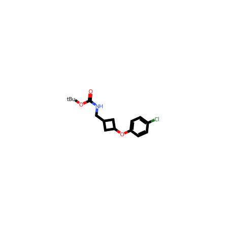 CC(C)(C)OC(=O)NCC1CC(Oc2ccc(Cl)cc2)C1